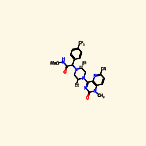 CCC1CN(C(C(=O)NOC)c2ccc(C(F)(F)F)cc2)[C@H](CC)CN1c1nc(=O)n(C)c2ccc(C#N)nc12